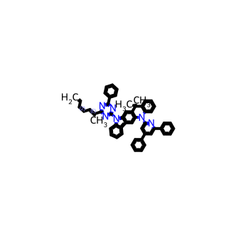 C=C/C=C\C=C(/C)c1nc(-c2ccccc2)nc(-n2c3ccccc3c3cc4c(cc32)C(C)(C)c2ccccc2N4c2cc(-c3ccccc3)cc(-c3ccccc3)n2)n1